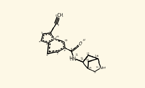 C#Cc1ccc2ccc(C(=O)NC3CC4CC3CN4)cn12